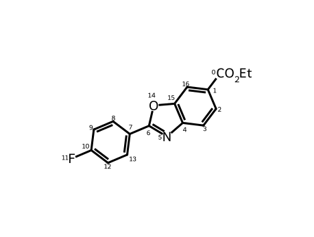 CCOC(=O)c1ccc2nc(-c3ccc(F)cc3)oc2c1